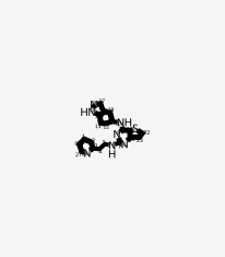 c1ccc(CCNc2nc(Nc3ccc4[nH]ncc4c3)c3sccc3n2)nc1